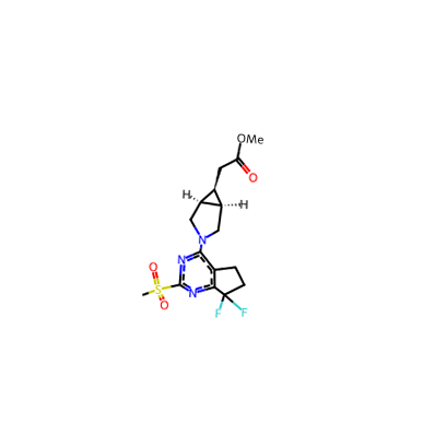 COC(=O)C[C@H]1[C@H]2CN(c3nc(S(C)(=O)=O)nc4c3CCC4(F)F)C[C@@H]12